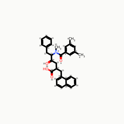 Cc1cc(C)cc(C(=O)N(C)C(Cc2ccccc2)C(=O)CC(Cc2cccc3ccccc23)C(=O)O)c1